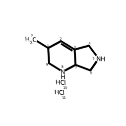 CC1C=C2CNCC2NC1.Cl.Cl